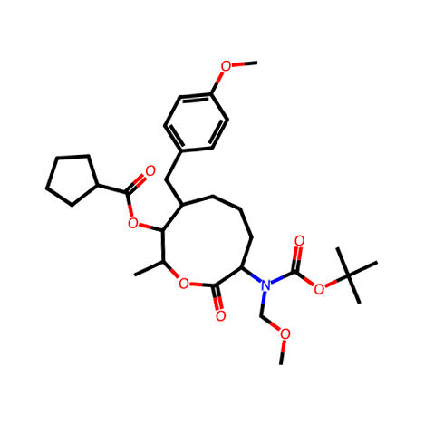 COCN(C(=O)OC(C)(C)C)C1CCCC(Cc2ccc(OC)cc2)C(OC(=O)C2CCCC2)C(C)OC1=O